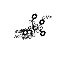 COC(=O)[C@@]1(OC2C(OC(=O)c3ccccc3)[C@H](Oc3ccc(OC)cc3)OC(COC(=O)c3ccccc3)[C@@H]2OC(C)=O)CC(OC(C)=O)[C@@H](NC(C)=O)C([C@H](OC(C)=O)[C@@H](COC(C)=O)OC(C)=O)O1